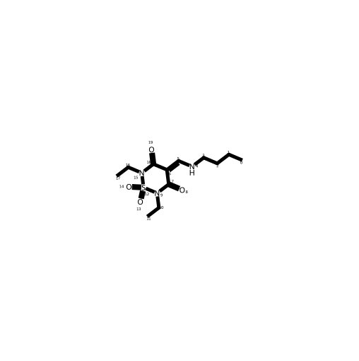 CCCCNC=C1C(=O)N(CC)S(=O)(=O)N(CC)C1=O